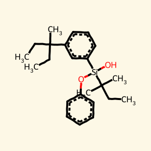 CCC(C)(CC)c1cccc([Si](O)(Oc2ccccc2)C(C)(C)CC)c1